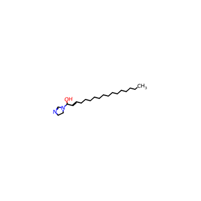 CCCCCCCCCCCCCCC=CC(O)N1C=NCC1